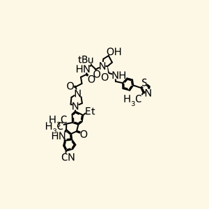 CCc1cc2c(cc1N1CCN(C(=O)CCC(=O)N[C@H](C(=O)N3C[C@H](O)C[C@H]3C(=O)NCc3ccc(-c4scnc4C)cc3)C(C)(C)C)CC1)C(C)(C)c1[nH]c3cc(C#N)ccc3c1C2=O